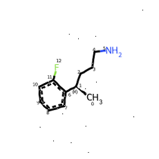 C[C@H](CCCN)c1ccccc1F